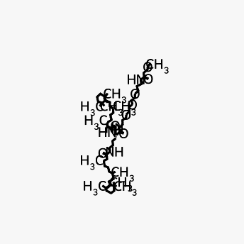 COCCC(=O)NCCCOCCOCCOCCCNC(=O)[C@H](CCCCNC(=O)CC(C)CCCC(C)CCC1=C(C)CCCC1(C)C)NC(=O)CC(C)CCCC(C)CCC1=C(C)CCCC1(C)C